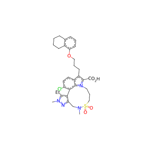 CCc1c2c(nn1C)CN(C)S(=O)(=O)CCCn1c(C(=O)O)c(CCCOc3cccc4c3CCCC4)c3ccc(Cl)c-2c31